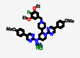 CCOc1cc(CN2CCC(C3CC(N(N)c4ncc(-c5ccc(OC)cc5)cn4)CCN3c3ncc(-c4ccc(OC)cc4)cn3)CC2)cc(OCC)c1F.Cl.Cl